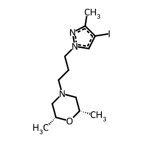 Cc1nn(CCCN2C[C@@H](C)O[C@@H](C)C2)cc1I